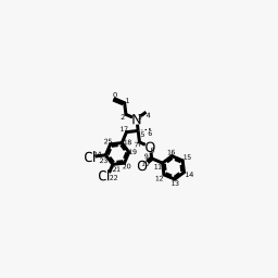 C=CCN(C)[C@@](C)([CH]OC(=O)c1ccccc1)Cc1ccc(Cl)c(Cl)c1